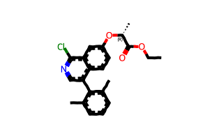 CCOC(=O)[C@@H](C)Oc1ccc2c(-c3c(C)cccc3C)cnc(Cl)c2c1